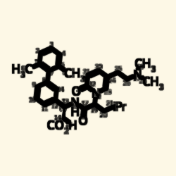 Cc1cccc(C)c1-c1cccc([C@H](CC(=O)O)NC(=O)C(CC(C)C)n2cc(CCN(C)C)ccc2=O)c1